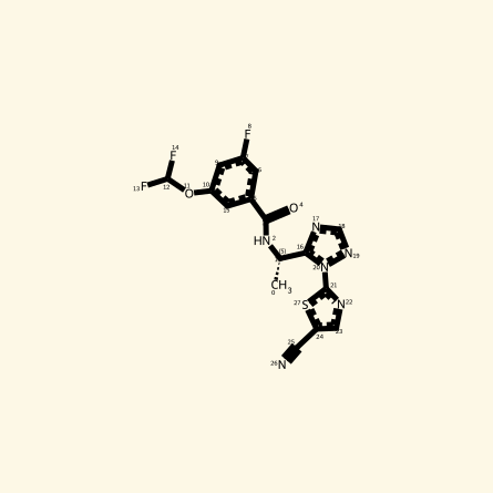 C[C@H](NC(=O)c1cc(F)cc(OC(F)F)c1)c1ncnn1-c1ncc(C#N)s1